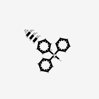 I[PH](c1ccccc1)(c1ccccc1)c1ccccc1.[C]=O.[C]=O.[C]=O.[Co]